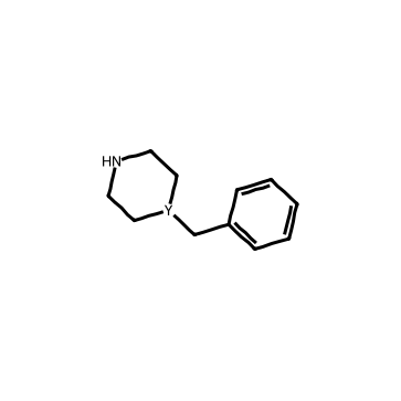 c1ccc([CH2][Y]2[CH2]CNC[CH2]2)cc1